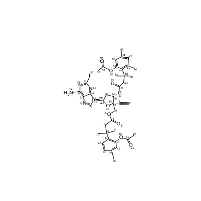 C#C[C@]1(COC(=O)CC(C)(C)c2ccc(C)cc2OC(C)=O)O[C@@H](n2cnc3c(N)nc(F)nc32)C[C@@H]1OC(=O)CC(C)(C)c1c(C)cc(C)cc1OC(C)=O